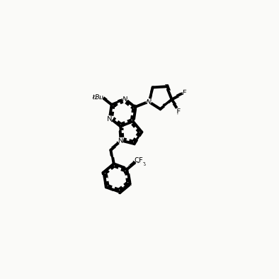 CC(C)(C)c1nc(N2CCC(F)(F)C2)c2ccn(Cc3ccccc3C(F)(F)F)c2n1